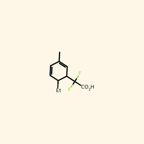 CCC1C=CC(C)=CC1C(F)(F)C(=O)O